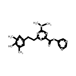 Cc1cc(CCc2nc(C(=O)Sc3cncnc3)nc(N(C)C)n2)cc(C)c1O